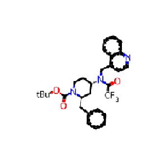 CC(C)(C)OC(=O)N1CC[C@H](N(Cc2ccnc3ccccc23)C(=O)C(F)(F)F)C[C@H]1Cc1ccccc1